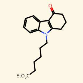 CCOC(=O)CCCCCn1c2c(c3ccccc31)C(=O)CCC2